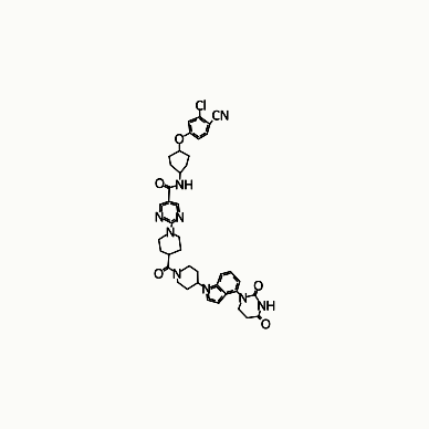 N#Cc1ccc(OC2CCC(NC(=O)c3cnc(N4CCC(C(=O)N5CCC(n6ccc7c(N8CCC(=O)NC8=O)cccc76)CC5)CC4)nc3)CC2)cc1Cl